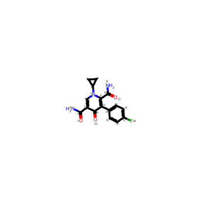 NC(=O)c1cn(C2CC2)c(C(N)=O)c(-c2ccc(F)cc2)c1=O